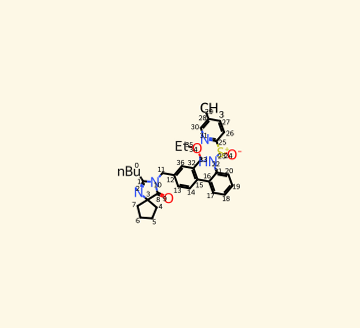 CCCCC1=NC2(CCCC2)C(=O)N1Cc1ccc(-c2ccccc2N[S+]([O-])c2ccc(C)cn2)c(COCC)c1